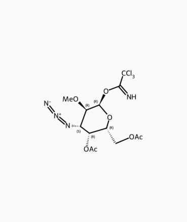 CO[C@H]1[C@@H](OC(=N)C(Cl)(Cl)Cl)O[C@H](COC(C)=O)[C@H](OC(C)=O)[C@@H]1N=[N+]=[N-]